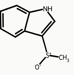 C[S+]([O-])c1c[nH]c2ccccc12